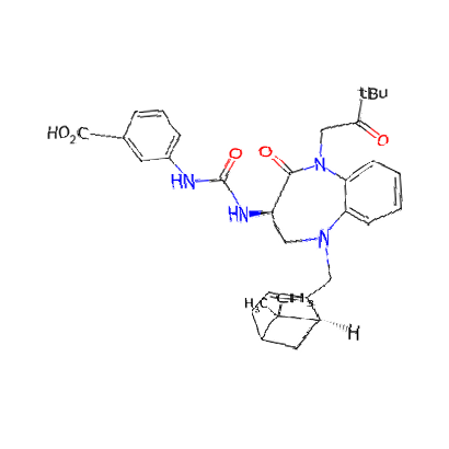 CC(C)(C)C(=O)CN1C(=O)[C@H](NC(=O)Nc2cccc(C(=O)O)c2)CN(CC2=CCC3C[C@H]2C3(C)C)c2ccccc21